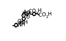 CC(=O)N1CCc2cc(NC(=O)Nc3ccc(C)cc3)ccc2C1C(=O)NC(Cc1ccc(CCC(=O)O)cc1)C(=O)O